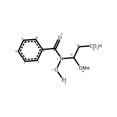 CCON(C(=O)c1ccccc1)C(CC(=O)O)OC